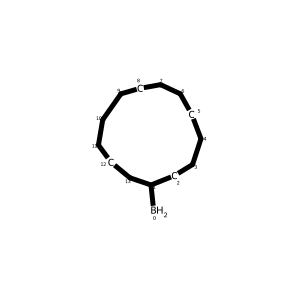 BC1CCCCCCCCCCCC1